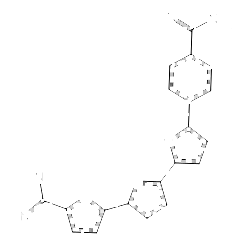 N=C(N)c1ccc(-c2ccc(-c3ccc(-c4ccc(C(=N)N)o4)o3)o2)cc1